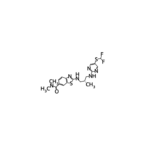 C[C@@H](CNc1ncc(SC(F)F)cn1)CNc1nc2ccc(C(=O)N(C)C)cc2s1